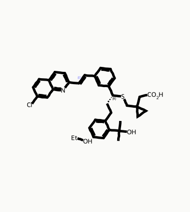 CC(C)(O)c1ccccc1CC[C@@H](SCC1(CC(=O)O)CC1)c1cccc(/C=C/c2ccc3ccc(Cl)cc3n2)c1.CCO